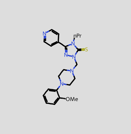 CCCn1c(-c2ccncc2)nn(CN2CCN(c3ccccc3OC)CC2)c1=S